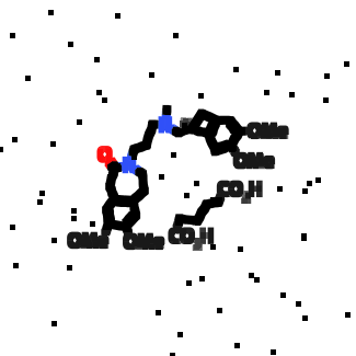 COc1cc2c(cc1OC)CC(=O)N(CCCN(C)C[C@H]1Cc3cc(OC)c(OC)cc31)CC2.O=C(O)CCCCC(=O)O